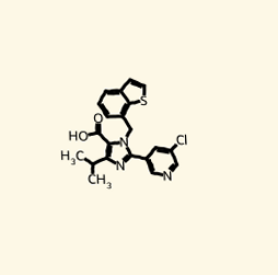 CC(C)c1nc(-c2cncc(Cl)c2)n(Cc2cccc3ccsc23)c1C(=O)O